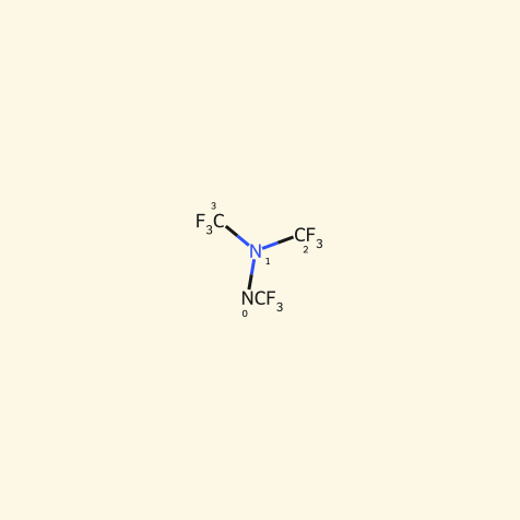 FC(F)(F)NN(C(F)(F)F)C(F)(F)F